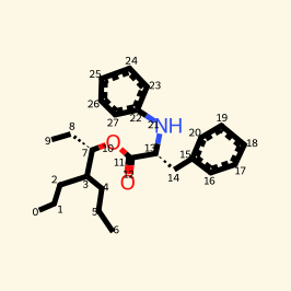 CCCC(CCC)[C@H](CC)OC(=O)[C@@H](Cc1ccccc1)Nc1ccccc1